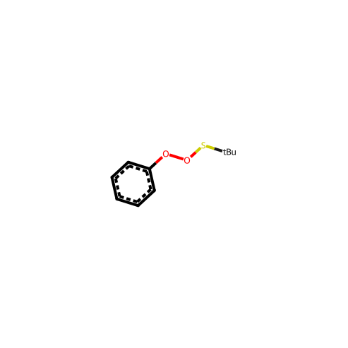 CC(C)(C)SOOc1ccccc1